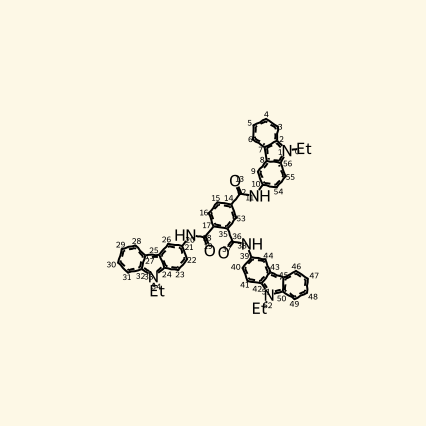 CCn1c2ccccc2c2cc(NC(=O)c3ccc(C(=O)Nc4ccc5c(c4)c4ccccc4n5CC)c(C(=O)Nc4ccc5c(c4)c4ccccc4n5CC)c3)ccc21